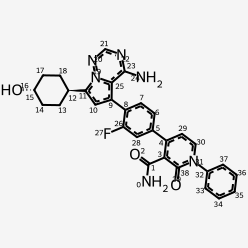 NC(=O)c1c(-c2ccc(-c3cc([C@H]4CC[C@H](O)CC4)n4ncnc(N)c34)c(F)c2)ccn(-c2ccccc2)c1=O